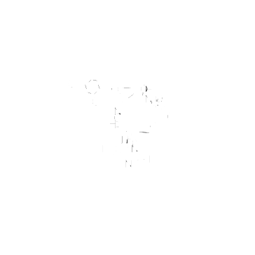 CCO[C@@]1(CN2CCN3CCCC[C@@H]3C2)/C=C/CCC(CC)S(=O)(=O)NC(=O)C2=CC3C(C=C2)OCc2ccc(Cl)cc2CCCCN3C[C@@H]2CC[C@H]21